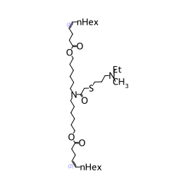 CCCCCC/C=C\CCC(=O)OCCCCCCN(CCCCCCOC(=O)CC/C=C\CCCCCC)C(=O)CSCCCN(C)CC